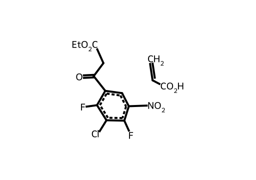 C=CC(=O)O.CCOC(=O)CC(=O)c1cc([N+](=O)[O-])c(F)c(Cl)c1F